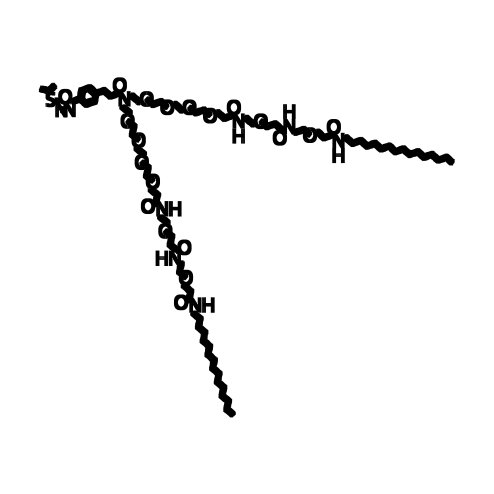 CCCCCCCCCCCCCCCCNC(=O)CCOCCNC(=O)CCOCCNC(=O)CCOCCOCCOCCOCCN(CCOCCOCCOCCOCCC(=O)NCCOCCC(=O)NCCOCCC(=O)NCCCCCCCCCCCCCCCC)C(=O)CCc1ccc(-c2nnc(SC(C)C)o2)cc1